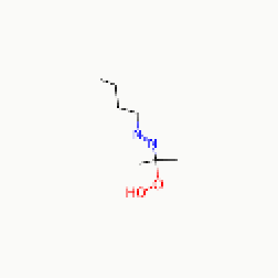 CCCCN=NC(C)(C)OO